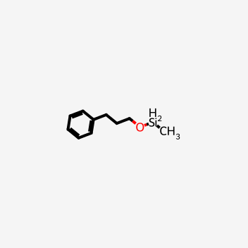 C[SiH2]OCCCc1ccccc1